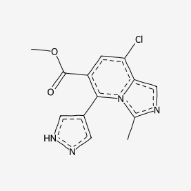 COC(=O)c1cc(Cl)c2cnc(C)n2c1-c1cn[nH]c1